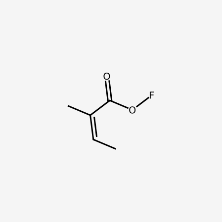 CC=C(C)C(=O)OF